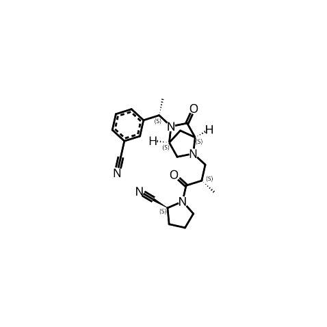 C[C@@H](CN1C[C@@H]2C[C@H]1C(=O)N2[C@@H](C)c1cccc(C#N)c1)C(=O)N1CCC[C@H]1C#N